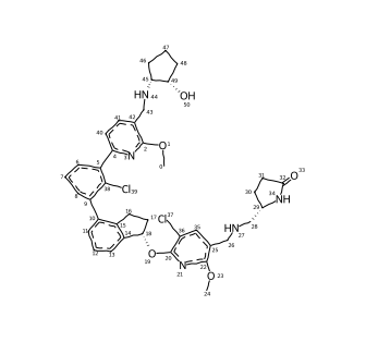 COc1nc(-c2cccc(-c3cccc4c3CC[C@@H]4Oc3nc(OC)c(CNC[C@@H]4CCC(=O)N4)cc3Cl)c2Cl)ccc1CN[C@@H]1CCC[C@@H]1O